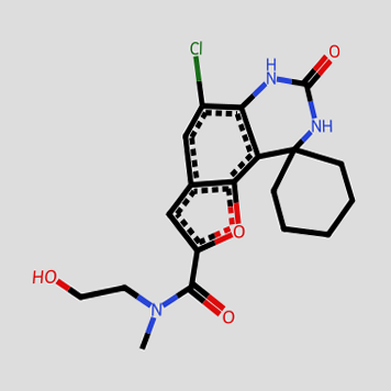 CN(CCO)C(=O)c1cc2cc(Cl)c3c(c2o1)C1(CCCCC1)NC(=O)N3